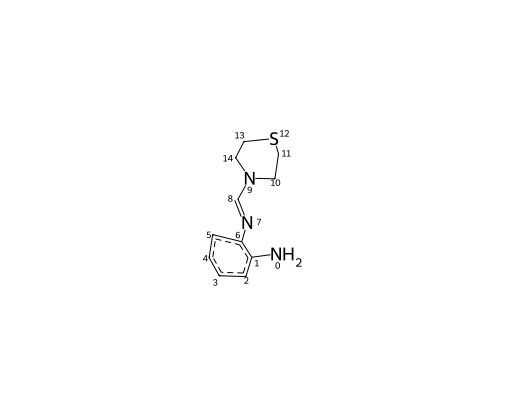 Nc1ccccc1/N=C/N1CCSCC1